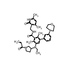 C=CC(=O)N1CCC(N(CC)c2cc(-c3cccc(N4CCOCC4)c3)c(C)c(C(=O)NCc3c(C)cc(C)[nH]c3=O)c2C)C1